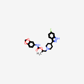 CC(CN1CCC(c2n[nH]c3cc(F)ccc23)CC1)OC(=O)Nc1ccc2c(c1)OCO2